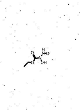 CCOC(=O)N(O)N[O]